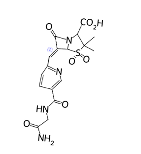 CC1(C)C(C(=O)O)N2C(=O)/C(=C/c3ccc(C(=O)NCC(N)=O)cn3)C2S1(=O)=O